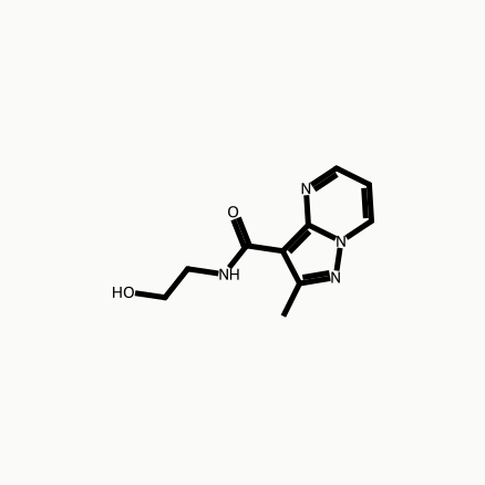 Cc1nn2cccnc2c1C(=O)NCCO